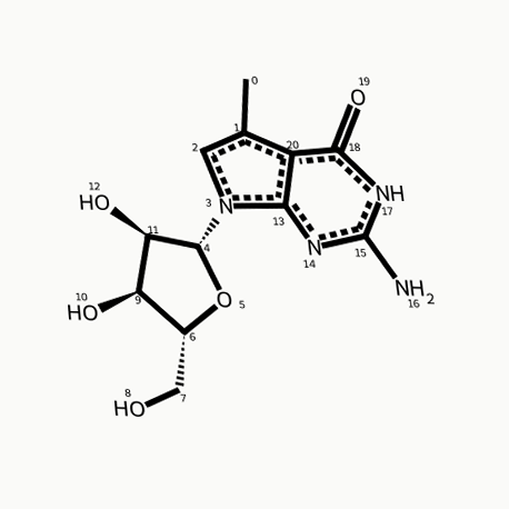 Cc1cn([C@@H]2O[C@H](CO)[C@@H](O)[C@H]2O)c2nc(N)[nH]c(=O)c12